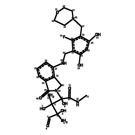 BC(O)(C=O)C(B)(O)C(O)(C(=O)NC)N1Cc2c(NCc3c(O)cc(O)c(CN4CCOCC4)c3F)cccc2C1=O